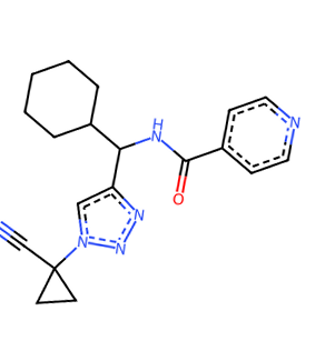 N#CC1(n2cc(C(NC(=O)c3ccncc3)C3CCCCC3)nn2)CC1